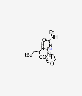 CCNC(=O)/N=C(\NC(CC(C)(C)C)C(=O)O)N1CCOCC1